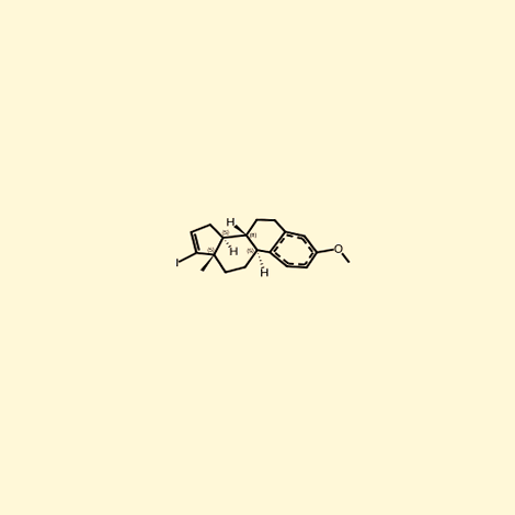 COc1ccc2c(c1)CC[C@@H]1[C@@H]2CC[C@]2(C)C(I)=CC[C@@H]12